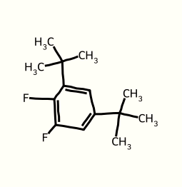 CC(C)(C)c1cc(F)c(F)c(C(C)(C)C)c1